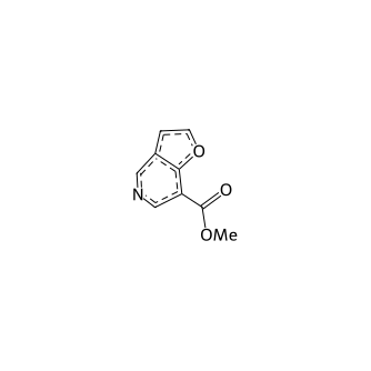 COC(=O)c1cncc2ccoc12